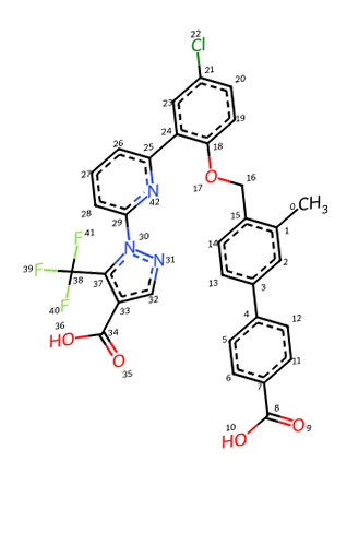 Cc1cc(-c2ccc(C(=O)O)cc2)ccc1COc1ccc(Cl)cc1-c1cccc(-n2ncc(C(=O)O)c2C(F)(F)F)n1